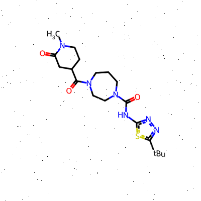 CN1CCC(C(=O)N2CCCN(C(=O)Nc3nnc(C(C)(C)C)s3)CC2)CC1=O